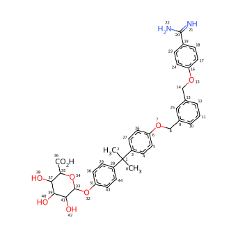 CC(C)(c1ccc(OCc2cccc(COc3ccc(C(=N)N)cc3)c2)cc1)c1ccc(OC2OC(C(=O)O)C(O)C(O)C2O)cc1